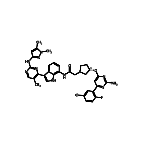 Cc1cnc(Nc2cc(C)n(C)n2)nc1-c1c[nH]c2c(NC(=O)CN3CC[C@H](Oc4cc(-c5cc(Cl)ccc5F)nc(N)n4)C3)cccc12